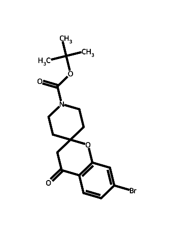 CC(C)(C)OC(=O)N1CCC2(CC1)CC(=O)c1ccc(Br)cc1O2